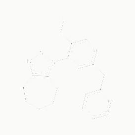 O=CCc1ccc(Cc2ccccc2)cc1-n1nnc2c1CCCCC2